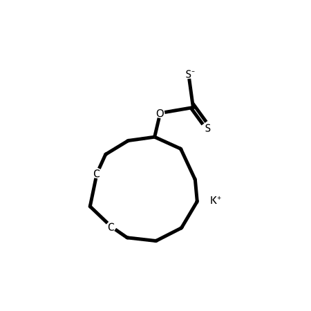 S=C([S-])OC1CCCCCCCCCCC1.[K+]